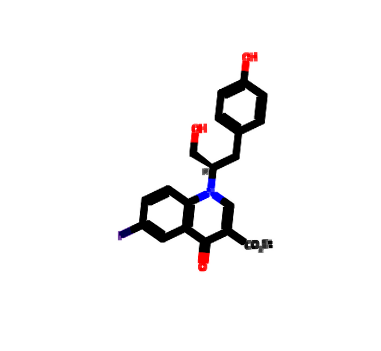 CCOC(=O)c1cn([C@@H](CO)Cc2ccc(O)cc2)c2ccc(I)cc2c1=O